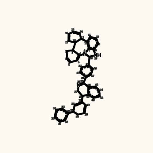 C1=CCC2C(=C1)N1c3c(cccc3C3C=CC=CC23)NC1c1ccc(C2=NCC(C3=CC(c4ccccc4)CC=C3)c3ccccc32)cc1